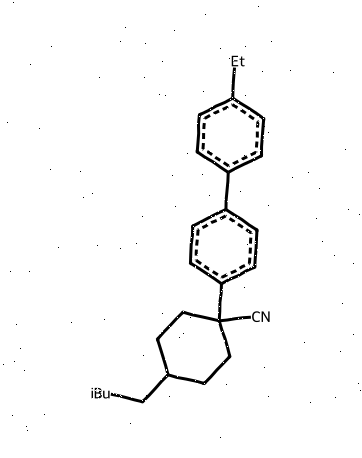 CCc1ccc(-c2ccc(C3(C#N)CCC(CC(C)CC)CC3)cc2)cc1